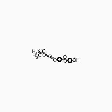 C=C(C)C(=O)OCCOCCOc1ccc(C(=O)Oc2ccc(O)cc2)cc1